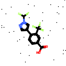 O=C(O)c1ccc(-c2cnn(C(F)F)c2)c(C(F)(F)F)c1